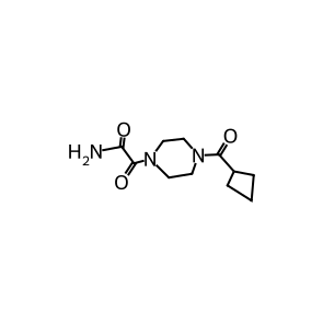 NC(=O)C(=O)N1CCN(C(=O)C2CCC2)CC1